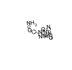 Nc1ncc(-c2ccc(O[C@H]3C[C@@H](N)C3)cc2)nc1C(=O)Nc1cnccc1N1CCOCC1